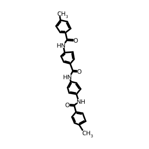 Cc1ccc(C(=O)Nc2ccc(NC(=O)c3ccc(NC(=O)c4ccc(C)cc4)cc3)cc2)cc1